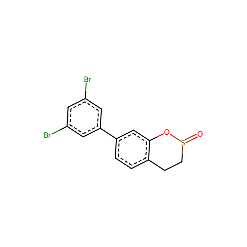 O=S1CCc2ccc(-c3cc(Br)cc(Br)c3)cc2O1